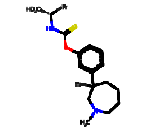 CCC1(c2cccc(OC(=S)N[C@H](C(=O)O)C(C)C)c2)CCCCN(C)C1